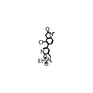 CCS(=O)(=O)N(C)Cc1cncc(-c2ccc3c(c2Cl)CC(=O)N3C)c1